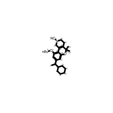 CCCCOc1cc(C(C)C2CCCCC2)cc2c1C1=C(CCN(C#N)C1)C(C)(C)O2